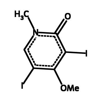 COc1c(I)cn(C)c(=O)c1I